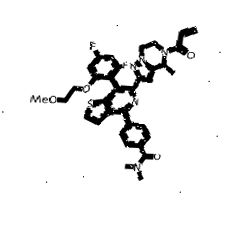 C=CC(=O)N1CCn2nc(-c3nc(-c4ccc(C(=O)N(C)C)cc4)c4ccsc4c3-c3c(F)cc(F)cc3OCCOC)cc2C1C